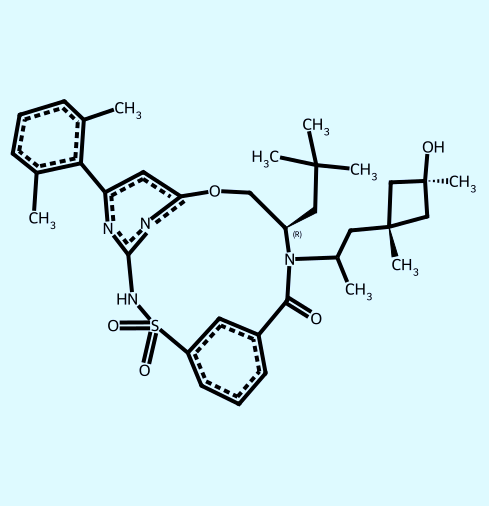 Cc1cccc(C)c1-c1cc2nc(n1)NS(=O)(=O)c1cccc(c1)C(=O)N(C(C)C[C@]1(C)C[C@@](C)(O)C1)[C@H](CC(C)(C)C)CO2